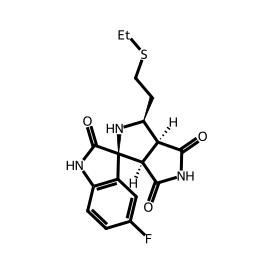 CCSCC[C@@H]1N[C@@]2(C(=O)Nc3ccc(F)cc32)[C@@H]2C(=O)NC(=O)[C@H]12